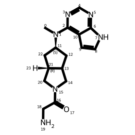 CN(c1ncnc2[nH]ccc12)[C@H]1CC2CN(C(=O)CN)C[C@@H]2C1